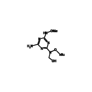 CCCCON(CO)c1nc(N)nc(NOC)n1